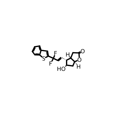 O=C1C[C@@H]2[C@@H](/C=C/C(F)(F)c3cc4ccccc4s3)[C@H](O)C[C@@H]2O1